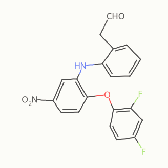 O=CCc1ccccc1Nc1cc([N+](=O)[O-])ccc1Oc1ccc(F)cc1F